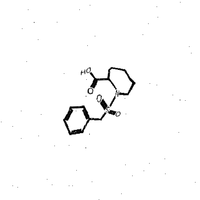 O=C(O)C1CCCCN1S(=O)(=O)Cc1ccccc1